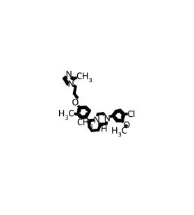 COc1cc(N2CCN3[C@@H](CCC[C@@H]3c3ccc(OCCCn4ccnc4C)c(C)c3C)C2)ccc1Cl